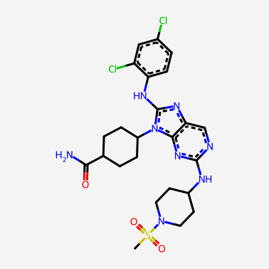 CS(=O)(=O)N1CCC(Nc2ncc3nc(Nc4ccc(Cl)cc4Cl)n(C4CCC(C(N)=O)CC4)c3n2)CC1